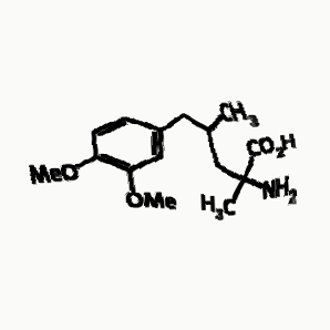 COc1ccc(CC(C)CC(C)(N)C(=O)O)cc1OC